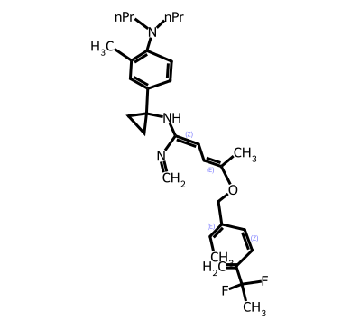 C=N/C(=C\C=C(/C)OCC(/C=C\C(=C)C(C)(F)F)=C/C)NC1(c2ccc(N(CCC)CCC)c(C)c2)CC1